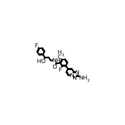 Cc1ccc(-c2ccn3nc(N)nc3c2)c(F)c1C(=O)NCCC(O)c1ccc(F)cc1